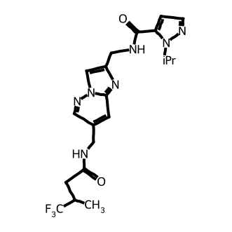 CC(C)n1nccc1C(=O)NCc1cn2ncc(CNC(=O)CC(C)C(F)(F)F)cc2n1